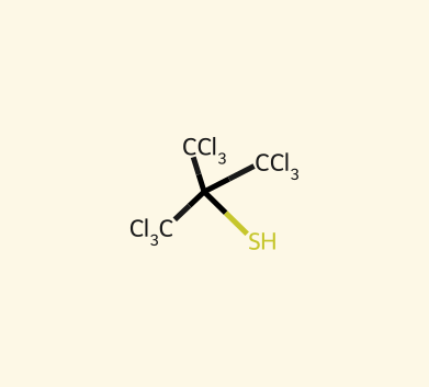 SC(C(Cl)(Cl)Cl)(C(Cl)(Cl)Cl)C(Cl)(Cl)Cl